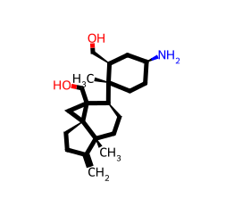 C=C1CC[C@@]23CC2(CO)[C@@H]([C@@]2(C)CC[C@H](N)C[C@@H]2CO)CC[C@]13C